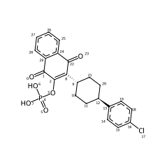 O=C1C(OP(=O)(O)O)=C([C@H]2CC[C@H](c3ccc(Cl)cc3)CC2)C(=O)c2ccccc21